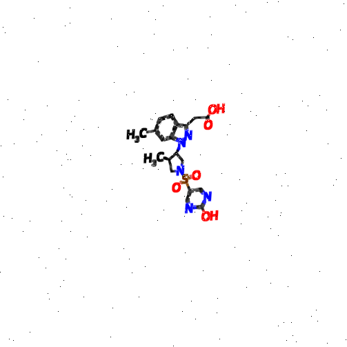 Cc1ccc2c(CC(=O)O)nn([C@H]3CN(S(=O)(=O)c4cnc(O)nc4)C[C@H]3C)c2c1